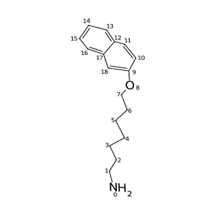 NCCCCCCCOc1ccc2ccccc2c1